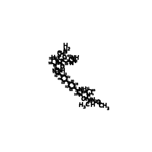 COCN[C@@H](C)C(=O)N1CCC[C@H]1c1ncc(-c2ccc(-c3ccc(-c4cnc([C@@H]5CCCN5C(=O)[C@](C)(Cc5c[nH]nn5)OC(N)=O)[nH]4)cc3)cc2)[nH]1